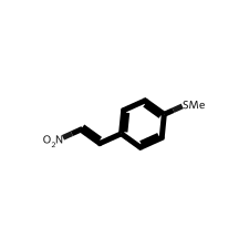 CSc1ccc(C=C[N+](=O)[O-])cc1